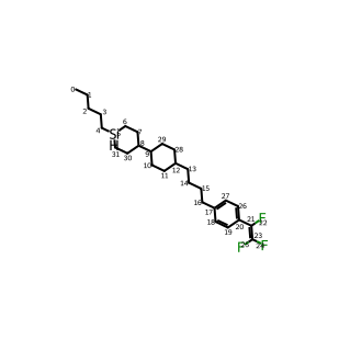 CCCCC[SiH]1CCC(C2CCC(CCCCc3ccc(C(F)=C(F)F)cc3)CC2)CC1